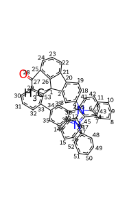 CC12c3cc(N(c4ccccc4)c4ccccc4)ccc3-c3cccc(c31)C(=O)c1cccc(-c3ccc4c(c3)c3ccccc3n4-c3ccccc3)c12